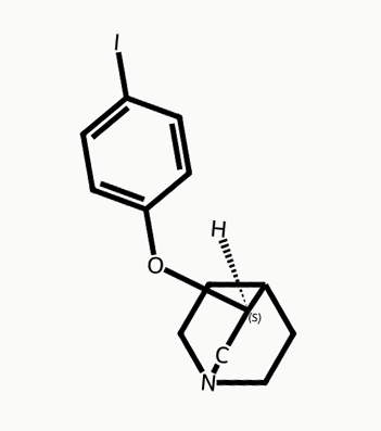 Ic1ccc(O[C@@H]2CN3CCC2CC3)cc1